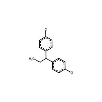 CSC(c1ccc(Cl)cc1)c1ccc(Cl)cc1